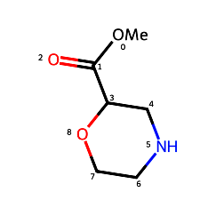 [CH2]OC(=O)C1CNCCO1